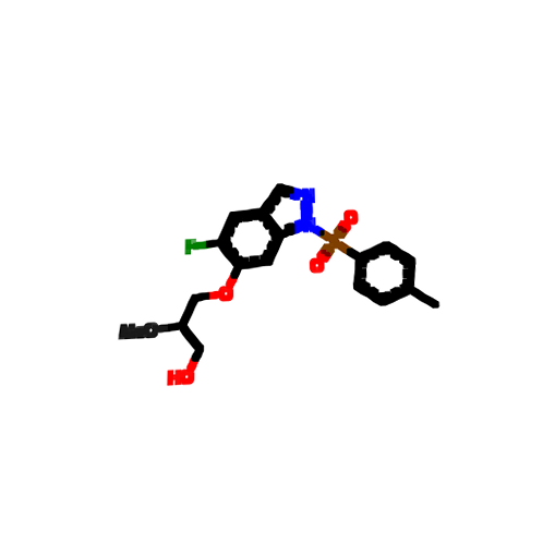 COC(CO)COc1cc2c(cnn2S(=O)(=O)c2ccc(C)cc2)cc1F